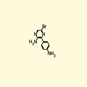 Nc1ccc(-c2nc(Br)cnc2N)cc1